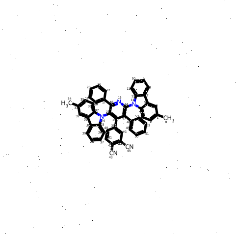 Cc1ccc2c(c1)c1ccccc1n2-c1nc(-c2ccccc2)c(-n2c3ccccc3c3cc(C)ccc32)c(-c2ccc(C#N)c(C#N)c2)c1-c1ccccc1